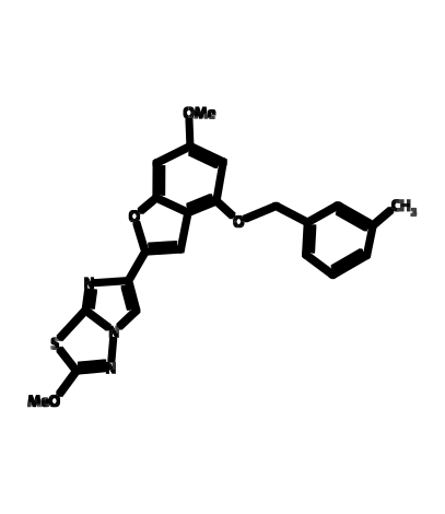 COc1cc(OCc2cccc(C)c2)c2cc(-c3cn4nc(OC)sc4n3)oc2c1